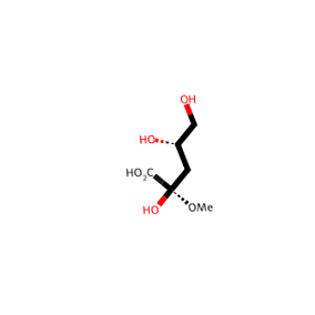 CO[C@@](O)(C[C@H](O)CO)C(=O)O